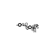 Cc1ccc(OCC(=O)N2CCc3cc(S(=O)(=O)Nc4nccs4)ccc32)cc1